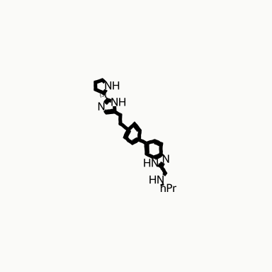 CCCNCc1nc2ccc(-c3ccc(CCc4cnc([C@@H]5CCCN5)[nH]4)cc3)cc2[nH]1